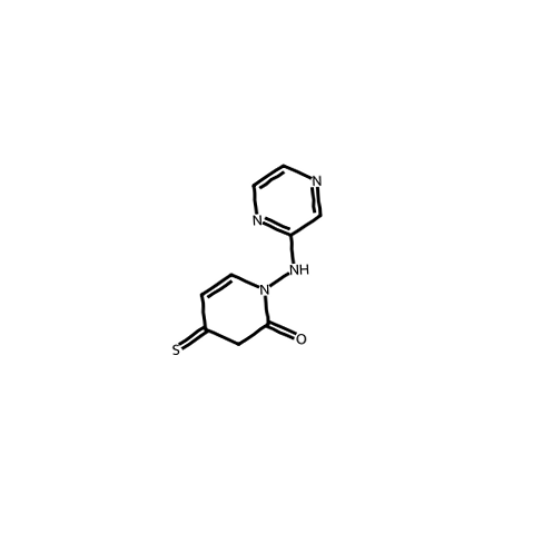 O=C1CC(=S)C=CN1Nc1cnccn1